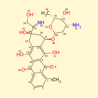 Cc1cccc2c1C(=O)c1c(O)c3c(c(O)c1C2=O)C[C@](O)(C(=N)CO)C[C@H]3OC1C[C@@H](N)[C@@H](O)[C@@H](C)O1